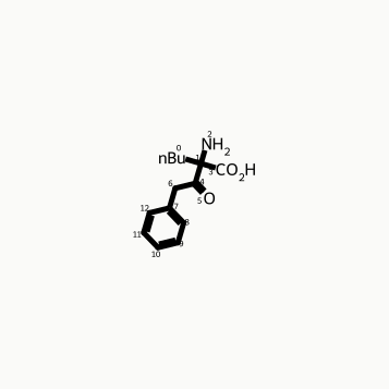 CCCCC(N)(C(=O)O)C(=O)Cc1ccccc1